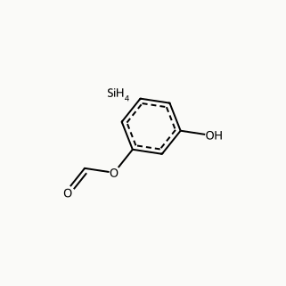 O=COc1cccc(O)c1.[SiH4]